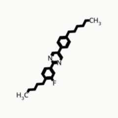 CCCCCCc1ccc(-c2cnc(-c3ccc(CCCCC)c(F)c3)nc2)cc1